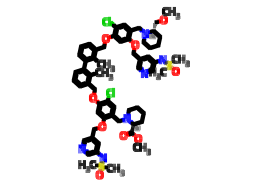 COC[C@@H]1CCCCN1Cc1cc(Cl)c(OCc2cccc(-c3cccc(COc4cc(OCc5cncc(N=S(C)(C)=O)c5)c(CN5CCCC[C@H]5C(=O)OC)cc4Cl)c3C)c2C)cc1OCc1cncc(N=S(C)(C)=O)c1